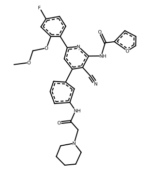 COCOc1cc(F)ccc1-c1cc(-c2cccc(NC(=O)CN3CCCCC3)c2)c(C#N)c(NC(=O)c2ccco2)n1